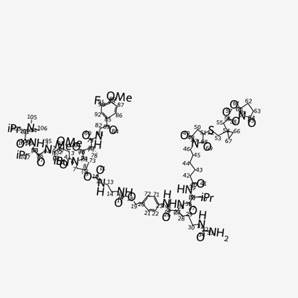 CC[C@H](C)[C@@H]([C@@H](CC(=O)N1C[C@@H](OC(=O)NCCNC(=O)OCc2ccc(NC(=O)[C@H](CCCNC(N)=O)NC(=O)[C@@H](NC(=O)CCCCCN3C(=O)CC(SCC4(CC(=O)ON5C(=O)CCC5=O)CC4)C3=O)C(C)C)cc2)C[C@H]1[C@H](OC)[C@@H](C)C(=O)NCC(=O)c1ccc(OC)c(F)c1)OC)N(C)C(=O)[C@@H](NC(=O)[C@H](C(C)C)N(C)C)C(C)C